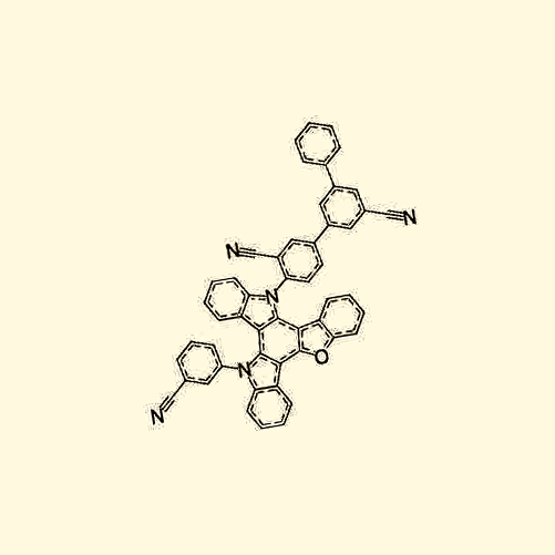 N#Cc1cc(-c2ccccc2)cc(-c2ccc(-n3c4ccccc4c4c5c(c6ccccc6n5-c5cccc(C#N)c5)c5oc6ccccc6c5c43)c(C#N)c2)c1